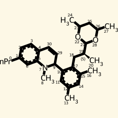 CCCc1ccc2c(c1)N(C)C(c1cc(C)cc(C)c1C[C@H](C)C1OC(C)CC(C)O1)C=C2